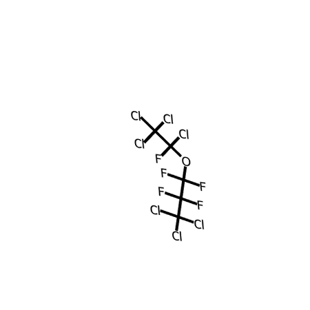 FC(F)(OC(F)(Cl)C(Cl)(Cl)Cl)C(F)(F)C(Cl)(Cl)Cl